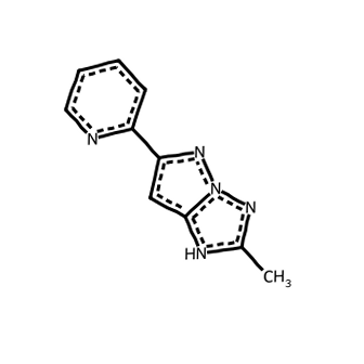 Cc1nn2nc(-c3ccccn3)cc2[nH]1